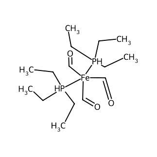 CC[PH](CC)(CC)[Fe]([CH]=O)([CH]=O)([CH]=O)[PH](CC)(CC)CC